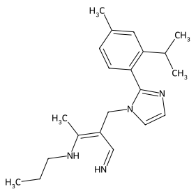 CCCN/C(C)=C(\C=N)Cn1ccnc1-c1ccc(C)cc1C(C)C